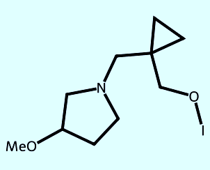 COC1CCN(CC2(COI)CC2)C1